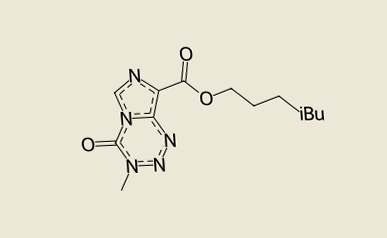 CCC(C)CCCOC(=O)c1ncn2c(=O)n(C)nnc12